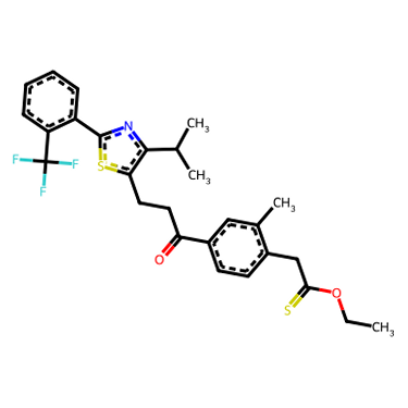 CCOC(=S)Cc1ccc(C(=O)CCc2sc(-c3ccccc3C(F)(F)F)nc2C(C)C)cc1C